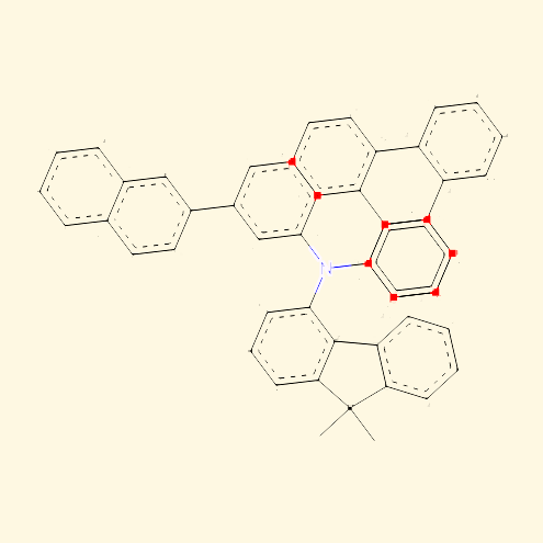 CC1(C)c2ccccc2-c2c(N(c3cccc(-c4ccc5ccccc5c4)c3)c3ccccc3-c3ccccc3-c3ccccc3-c3ccccc3)cccc21